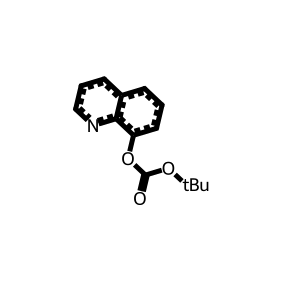 CC(C)(C)OC(=O)Oc1cccc2cccnc12